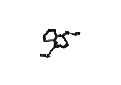 CCOC(=O)c1ccc(OC(C)C)c2ccccc12